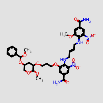 COc1cc(C(N)=O)cc([N+](=O)[O-])c1NC/C=C/CNc1c(OCCCOC2CC(OC(OC)c3ccccc3)COC2OC)cc(C(N)=O)cc1[N+](=O)[O-]